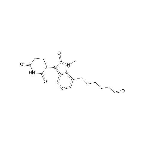 Cn1c(=O)n(C2CCC(=O)NC2=O)c2cccc(CCCCCC=O)c21